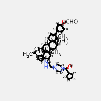 C=C(C)[C@@H]1CC[C@]2(NCCN3CCN(C(=O)C4CCCC4)CC3)CC[C@]3(C)[C@H](CC[C@@H]4[C@@]5(C)CC=C(c6ccc(OC=O)cc6)C(C)(C)[C@@H]5CC[C@]43C)[C@@H]12